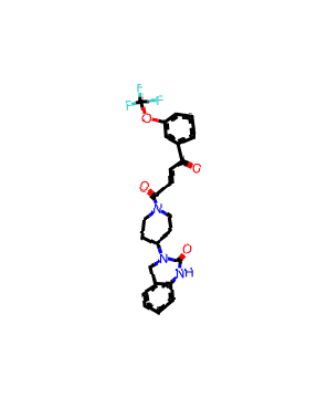 O=C(C=CC(=O)N1CCC(N2Cc3ccccc3NC2=O)CC1)c1cccc(OC(F)(F)F)c1